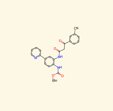 CC(C)(C)OC(=O)Nc1ccc(-c2ccccn2)cc1NC(=O)CC(=O)c1cccc(C#N)c1